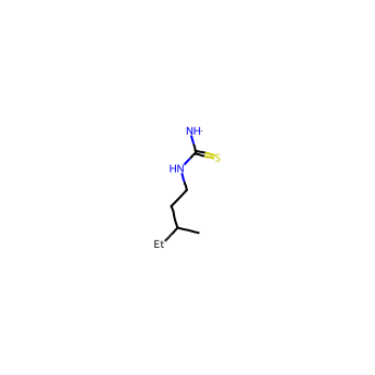 CCC(C)CCNC([NH])=S